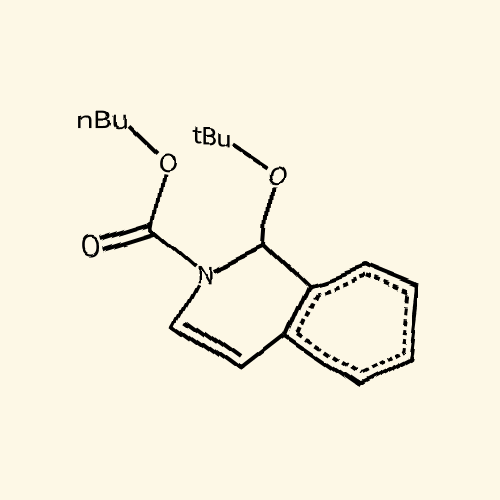 CCCCOC(=O)N1C=Cc2ccccc2C1OC(C)(C)C